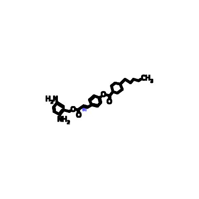 CCCCCC1CCC(C(=O)Oc2ccc(/C=C/C(=O)OCc3cc(N)ccc3N)cc2)CC1